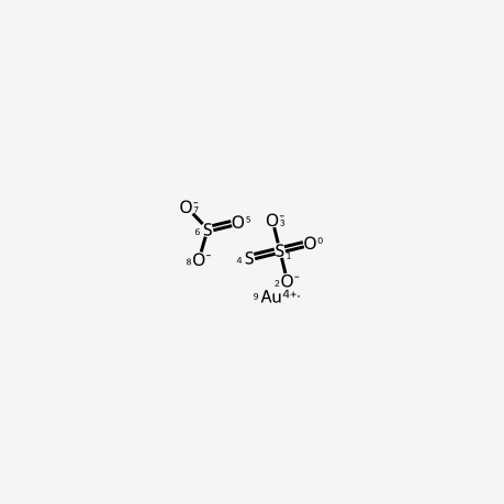 O=S([O-])([O-])=S.O=S([O-])[O-].[Au+4]